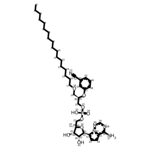 CCCCCCCCCCCCCCCCCCOC[C@H](COP(=O)(O)OC[C@@]1(C)O[C@@H](c2ccc3c(N)ncnn23)[C@H](O)[C@@H]1O)Oc1cccc(C#N)c1